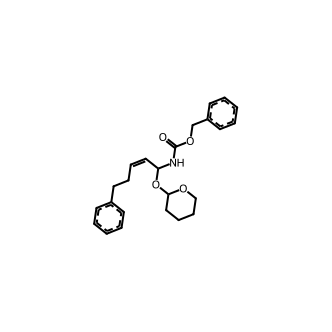 O=C(NC(/C=C\CCc1ccccc1)OC1CCCCO1)OCc1ccccc1